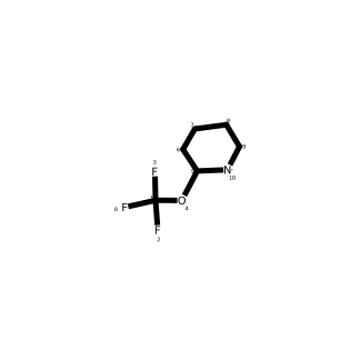 FC(F)(F)OC1CCCC[N]1